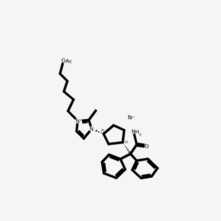 CC(=O)OCCCCC[n+]1ccn([C@@H]2CC[C@H](C(C(N)=O)(c3ccccc3)c3ccccc3)C2)c1C.[Br-]